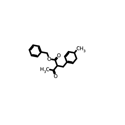 CC(=O)C(CC1=CCC(C)C=C1)C(=O)OCc1ccccc1